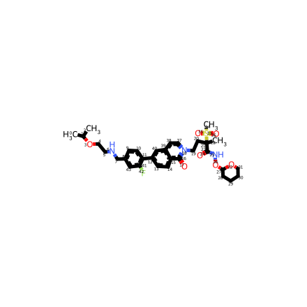 CC(C)OCCNCc1ccc(-c2ccc3c(=O)n(CCC(C)(C(=O)NOC4CCCCO4)S(C)(=O)=O)ccc3c2)c(F)c1